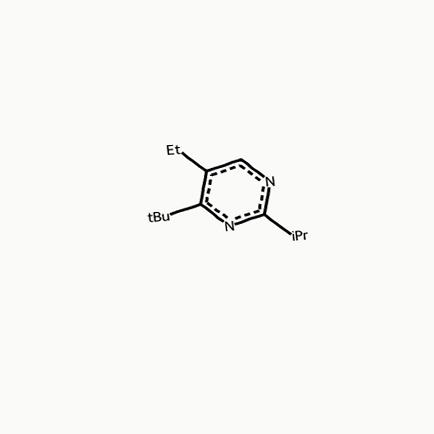 CCc1cnc(C(C)C)nc1C(C)(C)C